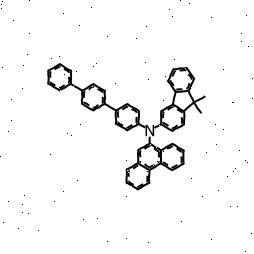 CC1(C)c2ccccc2-c2cc(N(c3ccc(-c4ccc(-c5ccccc5)cc4)cc3)c3cc4ccccc4c4ccccc34)ccc21